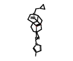 Cc1ccn(CCN2CCC34CCN(CC5CC5)C(Cc5ccc(O)cc53)C4(O)CC2)c1